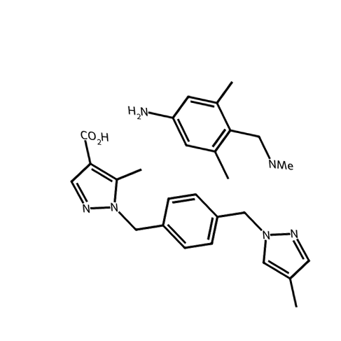 CNCc1c(C)cc(N)cc1C.Cc1cnn(Cc2ccc(Cn3ncc(C(=O)O)c3C)cc2)c1